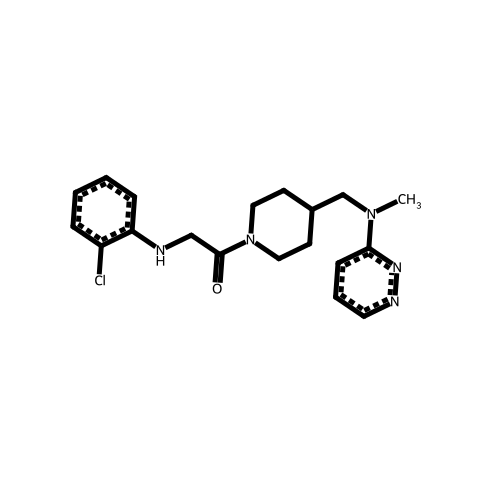 CN(CC1CCN(C(=O)CNc2ccccc2Cl)CC1)c1cccnn1